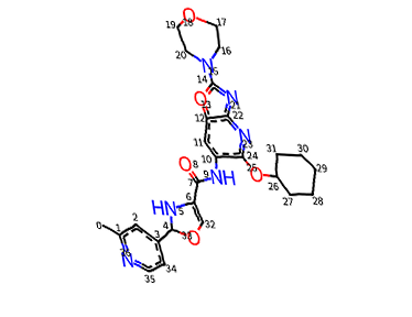 Cc1cc(C2NC(C(=O)Nc3cc4oc(N5CCOCC5)nc4nc3OC3CCCCC3)=CO2)ccn1